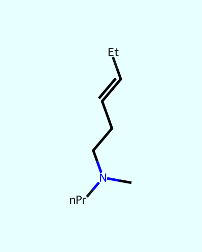 CC/C=C/CCN(C)CCC